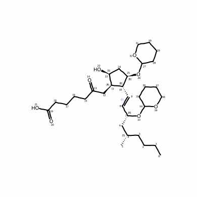 CCCC[C@H](C)C[C@H](/C=C/[C@@H]1[C@@H](CC(=O)CCCCC(=O)O)[C@@H](O)C[C@H]1OC1CCCCO1)OC1CCCCO1